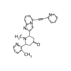 Cc1cccnc1C1CC(=O)CC(c2cn3c(C#Cc4ccccn4)cccc3n2)N1C